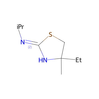 CCC1(C)CS/C(=N\C(C)C)N1